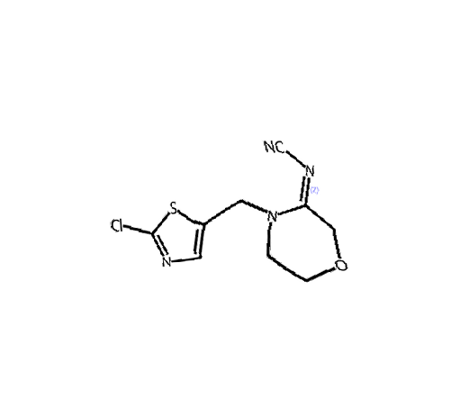 N#C/N=C1/COCCN1Cc1cnc(Cl)s1